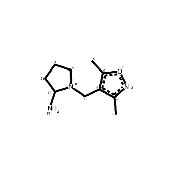 Cc1noc(C)c1CN1CCCC1N